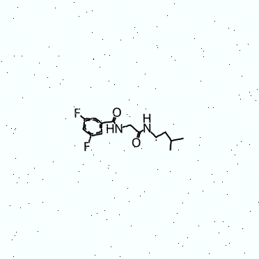 CC(C)C[CH]NC(=O)CNC(=O)c1cc(F)cc(F)c1